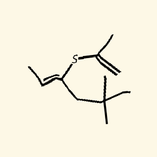 C=C(C)S/C(=C\C)CC(C)(C)C